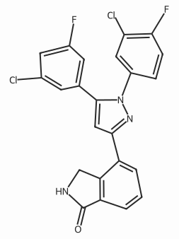 O=C1NCc2c1cccc2-c1cc(-c2cc(F)cc(Cl)c2)n(-c2ccc(F)c(Cl)c2)n1